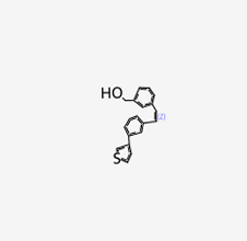 OCc1cccc(/C=C\c2cccc(-c3ccsc3)c2)c1